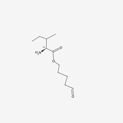 CCC(C)[C@H](N)C(=O)OCCCC[C]=O